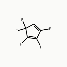 FC1=[C]C(F)(F)C(F)=C1F